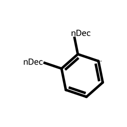 CCCCCCCCCCc1[c]cccc1CCCCCCCCCC